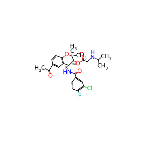 CC(=O)c1ccc2c(c1)[C@@H](NC(=O)c1ccc(F)c(Cl)c1)[C@H](OC(=O)CNC(C)C)C(C)(C)O2